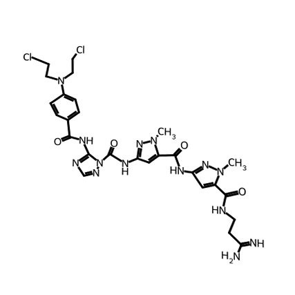 Cn1nc(NC(=O)c2cc(NC(=O)n3ncnc3NC(=O)c3ccc(N(CCCl)CCCl)cc3)nn2C)cc1C(=O)NCCC(=N)N